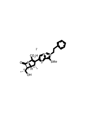 CSc1c2sc(C3=C(C(=O)O)N4C(=O)[C@H]([C@@H](C)O)[C@H]4[C@H]3C)c[n+]2cn1CCc1ccccc1.[I-]